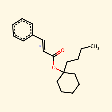 CCCCC1(OC(=O)/C=C/c2ccccc2)CCCCC1